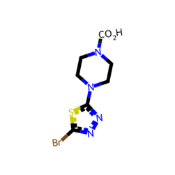 O=C(O)N1CCN(c2nnc(Br)s2)CC1